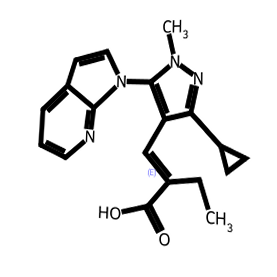 CC/C(=C\c1c(C2CC2)nn(C)c1-n1ccc2cccnc21)C(=O)O